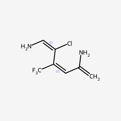 C=C(N)/C=C(\C(Cl)=C/N)C(F)(F)F